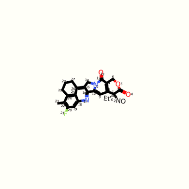 CC[C@@]1(N=O)C(=O)OCc2c1cc1n(c2=O)Cc2c-1nc1cc(F)c(C)c3c1c2CCC3